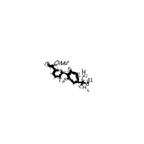 CCOC(C)(C)c1cc(F)c(-c2nc(C(=O)OC)ccc2F)c(F)c1